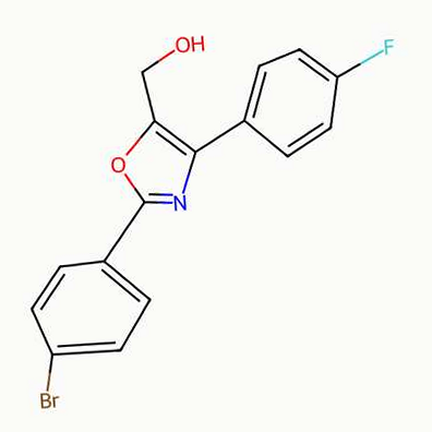 OCc1oc(-c2ccc(Br)cc2)nc1-c1ccc(F)cc1